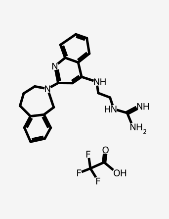 N=C(N)NCCNc1cc(N2CCCc3ccccc3C2)nc2ccccc12.O=C(O)C(F)(F)F